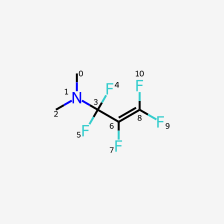 CN(C)C(F)(F)C(F)=C(F)F